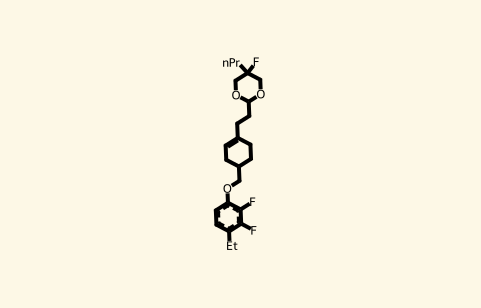 CCCC1(F)COC(CCC2=CCC(COc3ccc(CC)c(F)c3F)CC2)OC1